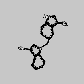 CC(C)(C)c1c[nH]c2ccc(Cn3cc(C(C)(C)C)c4ccccc43)cc12